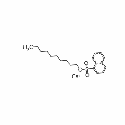 CCCCCCCCCCOS(=O)(=O)c1cccc2ccccc12.[Ca]